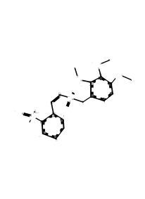 COc1ccc(CS(=O)(=O)/C=C\c2ccccc2P(=O)(O)O)c(OC)c1OC